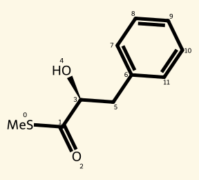 CSC(=O)[C@@H](O)Cc1ccccc1